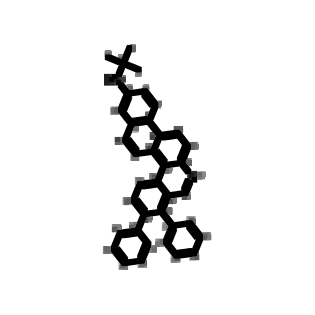 CC(C)(C)Nc1ccc2c(ccc3c2ccc2ncc4c(-c5ccccc5)c(-c5ccccc5)ccc4c23)c1